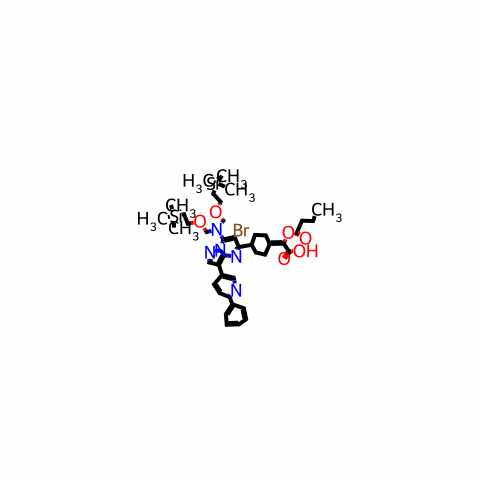 CCCC(=O)OC(C(=O)O)=C1CCC(c2nc3c(-c4ccc(-c5ccccc5)nc4)cnn3c(N(COCC[Si](C)(C)C)COCC[Si](C)(C)C)c2Br)CC1